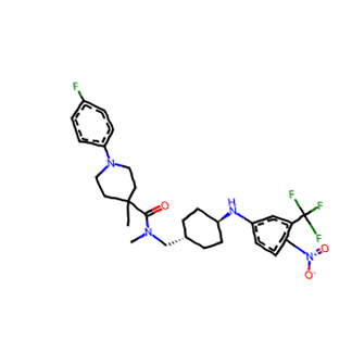 CN(C[C@H]1CC[C@H](Nc2ccc([N+](=O)[O-])c(C(F)(F)F)c2)CC1)C(=O)C1(C)CCN(c2ccc(F)cc2)CC1